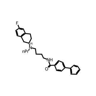 CCCN(CCCCNC(=O)c1ccc(-c2ccccc2)cc1)[C@@H]1CCc2cc(F)ccc2C1